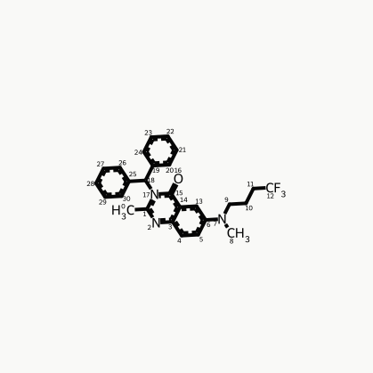 Cc1nc2ccc(N(C)CCCC(F)(F)F)cc2c(=O)n1C(c1ccccc1)c1ccccc1